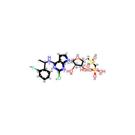 CC(Nc1nc(Cl)nc2c1ccn2[C@@H]1O[C@H](CS(=O)(=O)CP(=O)(O)O)[C@@H](O)[C@H]1O)c1ccccc1F